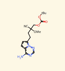 COC(C#N)(CCc1ccc2c(N)ncnn12)COC(=O)OC(C)(C)C